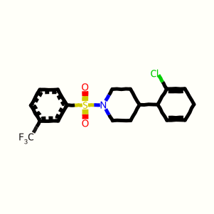 O=S(=O)(c1cccc(C(F)(F)F)c1)N1CCC(C2C=CCC=C2Cl)CC1